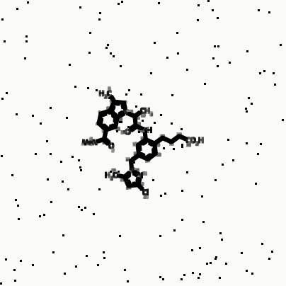 CNC(=O)c1ccc2c(C)cn(C(C)C(=O)Nc3cc(Cn4nc(Cl)cc4C)ccc3CCCC(=O)O)c2c1